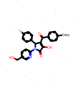 COc1ccc(C(=O)C2=C(O)C(=O)N(c3ccc(CO)cn3)C2c2ccc(F)cc2)cc1